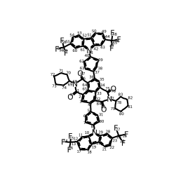 O=C1c2cc(-c3ccc(-n4c5cc(C(F)(F)F)ccc5c5ccc(C(F)(F)F)cc54)cc3)c3c4c(cc(-c5ccc(-n6c7cc(C(F)(F)F)ccc7c7ccc(C(F)(F)F)cc76)cc5)c(c24)C(=O)N1C1CCCCC1)C(=O)N(C1CCCCC1)C3=O